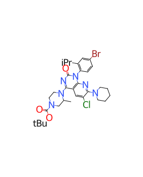 CC(C)c1cc(Br)ccc1-n1c(=O)nc(N2CCN(C(=O)OC(C)(C)C)CC2C)c2cc(Cl)c(N3CCCCC3)nc21